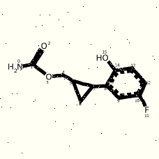 NC(=O)OCC1CC1c1cc(F)ccc1O